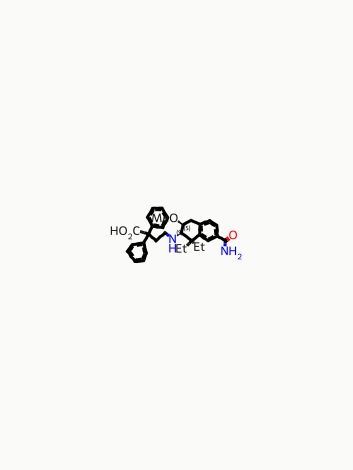 CCC1(CC)c2cc(C(N)=O)ccc2C[C@H](OC)[C@H]1NCCC(C(=O)O)(c1ccccc1)c1ccccc1